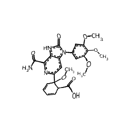 COc1cc(-n2c(=O)[nH]c3c(C(N)=O)nc(C4(OC)C=CC=CC4C(=O)O)cc32)cc(OC)c1OC